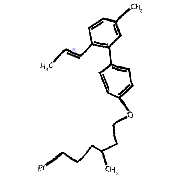 C/C=C/c1ccc(C)cc1-c1ccc(OCCC(C)CCCC(C)C)cc1